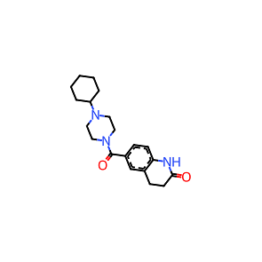 O=C1CCc2cc(C(=O)N3CCN(C4CCCCC4)CC3)ccc2N1